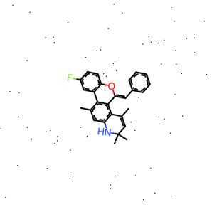 CC1=CC(C)(C)Nc2cc(C)c3c(c21)C(=Cc1ccccc1)Oc1ccc(F)cc1-3